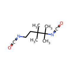 CC(C)(CCN=C=O)C(C)(C)N=C=O